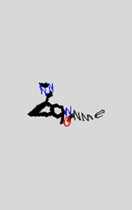 CNC1=NC2(CCc3c(cccc3-c3cnccn3)C2)CO1